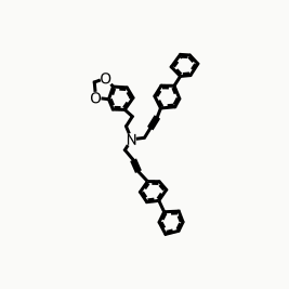 C(#Cc1ccc(-c2ccccc2)cc1)CN(CC#Cc1ccc(-c2ccccc2)cc1)CCc1ccc2c(c1)OCO2